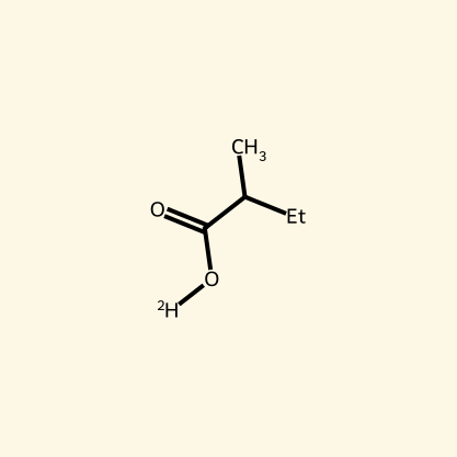 [2H]OC(=O)C(C)CC